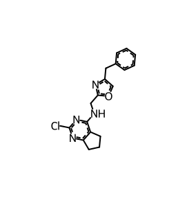 Clc1nc2c(c(NCc3nc(Cc4ccccc4)co3)n1)CCC2